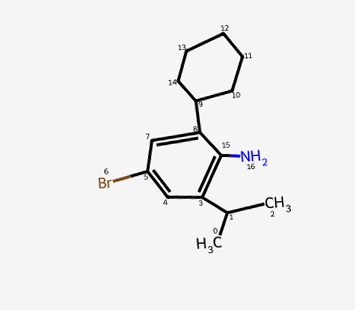 CC(C)c1cc(Br)cc(C2CCCCC2)c1N